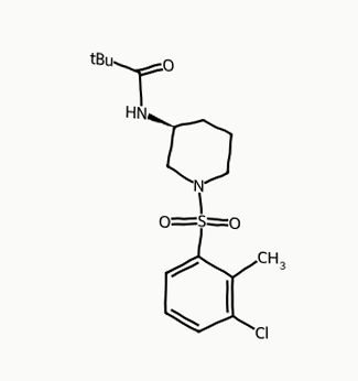 Cc1c(Cl)cccc1S(=O)(=O)N1CCC[C@H](NC(=O)C(C)(C)C)C1